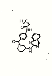 C=CC(=O)Nc1ccc(C(=O)N2CCCC(Nc3ncc4ccccc4n3)C2)cc1